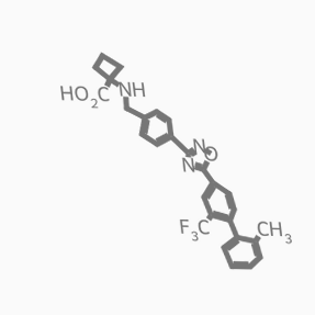 Cc1ccccc1-c1ccc(-c2nc(-c3ccc(CNC4(C(=O)O)CCC4)cc3)no2)cc1C(F)(F)F